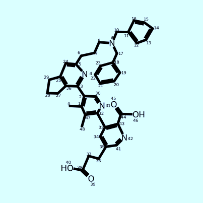 Cc1c(-c2nc(CCCN(Cc3ccccc3)Cc3ccccc3)cc3c2CCC3)cnc(-c2cc(CCC(=O)O)cnc2C(=O)O)c1C